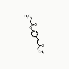 CCCC(=O)Oc1ccc(/C=C/C(=O)OC)cc1